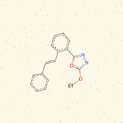 CCOc1nnc(-c2ccccc2C=Cc2ccccc2)o1